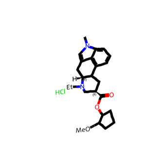 CCN1C[C@H](C(=O)OC2CCCC2OC)CC2c3cccc4c3c(cn4C)C[C@H]21.Cl